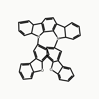 C1=CC2c3ccc4c(c3N(c3ccc5oc6ccccc6c5c3)C2C=C1)N(c1ccc2oc3ccccc3c2c1)C1C=CC=CC41